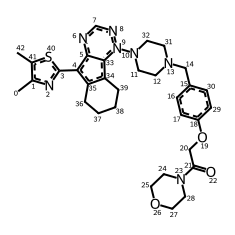 Cc1nc(-c2c3ncnn(N4CCN(Cc5ccc(OCC(=O)N6CCOCC6)cc5)CC4)c-3c3c2CCCC3)sc1C